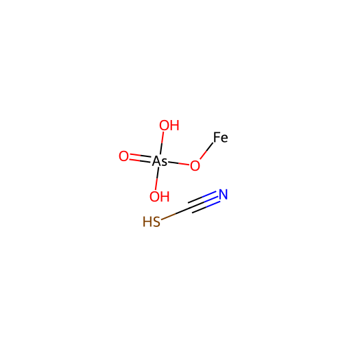 N#CS.O=[As](O)(O)[O][Fe]